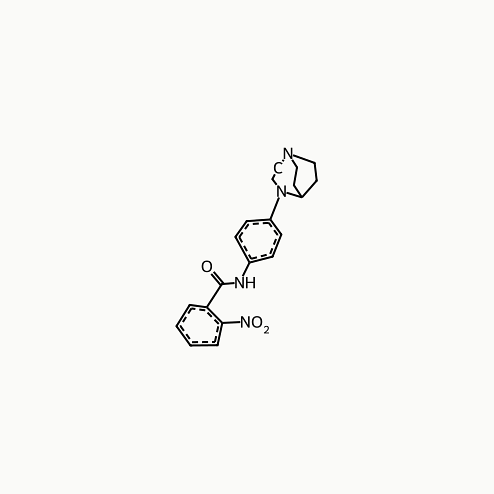 O=C(Nc1ccc(N2CCN3CCC2CC3)cc1)c1ccccc1[N+](=O)[O-]